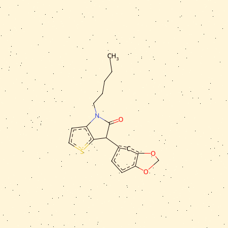 CCCCCN1C(=O)C(c2ccc3c(c2)OCO3)c2sccc21